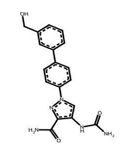 NC(=O)Nc1cn(-c2ccc(-c3cccc(CO)c3)cc2)nc1C(N)=O